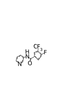 O=C(Nc1cccnc1)c1ccc(F)c(C(F)(F)F)c1